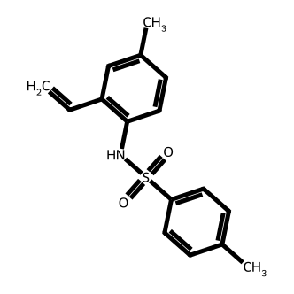 C=Cc1cc(C)ccc1NS(=O)(=O)c1ccc(C)cc1